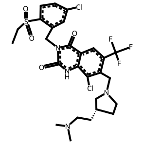 CCS(=O)(=O)c1ccc(Cl)cc1Cn1c(=O)[nH]c2c(Cl)c(CN3CC[C@H](CCN(C)C)C3)c(C(F)(F)F)cc2c1=O